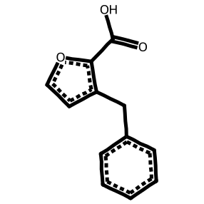 O=C(O)c1occc1Cc1ccccc1